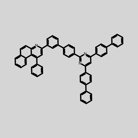 c1ccc(-c2ccc(-c3cc(-c4ccc(-c5ccccc5)cc4)nc(-c4ccc(-c5cccc(-c6cc(-c7ccccc7)c7c(ccc8ccccc87)n6)c5)cc4)n3)cc2)cc1